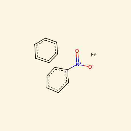 O=[N+]([O-])c1ccccc1.[Fe].c1ccccc1